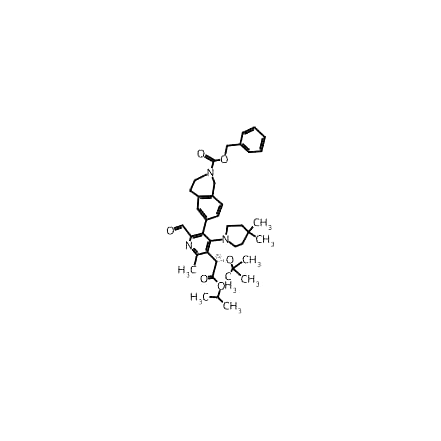 Cc1nc(C=O)c(-c2ccc3c(c2)CCN(C(=O)OCc2ccccc2)C3)c(N2CCC(C)(C)CC2)c1[C@H](OC(C)(C)C)C(=O)OC(C)C